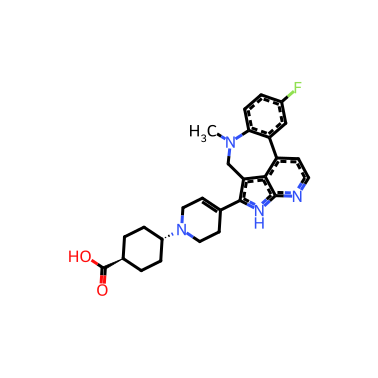 CN1Cc2c(C3=CCN([C@H]4CC[C@H](C(=O)O)CC4)CC3)[nH]c3nccc(c23)-c2cc(F)ccc21